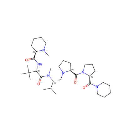 CC(C)[C@@H](CN1CCC[C@H]1C(=O)N1CCC[C@H]1C(=O)N1CCCCC1)N(C)C(=O)[C@@H](NC(=O)[C@H]1CCCCN1C)C(C)(C)C